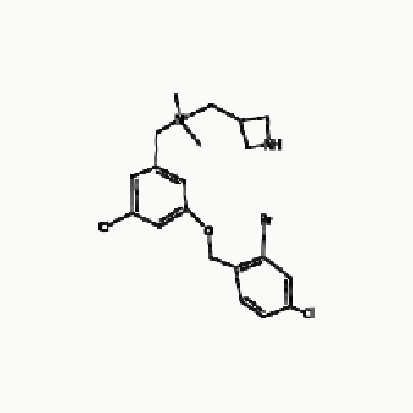 C[N+](C)(Cc1cc(Cl)cc(OCc2ccc(Cl)cc2Br)c1)CC1CNC1